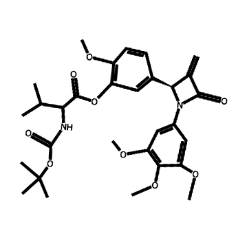 C=C1C(=O)N(c2cc(OC)c(OC)c(OC)c2)[C@H]1c1ccc(OC)c(OC(=O)C(NC(=O)OC(C)(C)C)C(C)C)c1